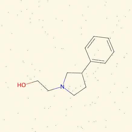 OCCN1CCC(c2cc[c]cc2)C1